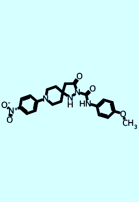 COc1ccc(NC(=O)N2NC3(CCN(c4ccc([N+](=O)[O-])cc4)CC3)CC2=O)cc1